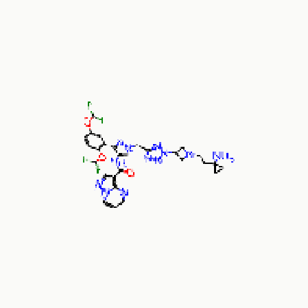 NC1(CCN2CC(n3nnc(Cn4cc(NC(=O)c5cnn6cccnc56)c(-c5cc(OC(F)F)ccc5OC(F)F)n4)n3)C2)CC1